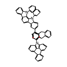 c1ccc(-n2c3ccccc3c3ccc4c5cc(-c6ccc(-n7c8cccc9c%10ccccc%10c%10cccc7c%10c98)c7c6C6c8ccccc8C7c7ccccc76)ccc5n(-c5ccccc5)c4c32)cc1